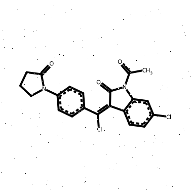 CC(=O)N1C(=O)C(=C(Cl)c2ccc(N3CCCC3=O)cc2)c2ccc(Cl)cc21